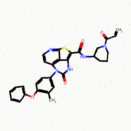 C=CC(=O)N1CCCC(NC(=O)c2sc3nccc4c3c2NC(=O)N4c2ccc(Oc3ccccc3)c(C)c2)C1